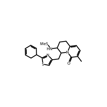 CSNC1CCc2ccc(C)c(=O)n2C1Cc1csc(C2C=CC=CC2)n1